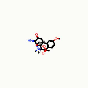 COc1ccc2c(c1)[C@]13CCN(C)[C@H](C2)[C@]1(OC(C)=O)CC(=N)C(=O)C3